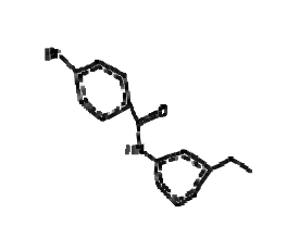 CCc1cccc(NC(=O)c2ccc(Br)cc2)c1